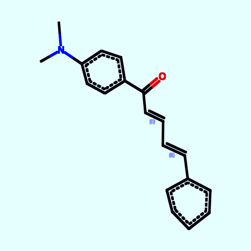 CN(C)c1ccc(C(=O)/C=C/C=C/c2ccccc2)cc1